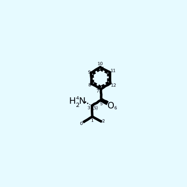 CC(C)[C@H](N)C(=O)c1cc[c]cc1